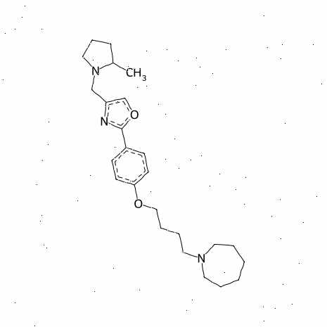 CC1CCCN1Cc1coc(-c2ccc(OCCCCN3CCCCCC3)cc2)n1